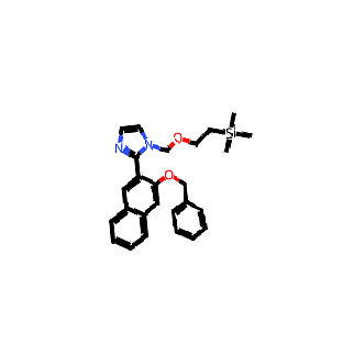 C[Si](C)(C)CCOCn1ccnc1-c1cc2ccccc2cc1OCc1ccccc1